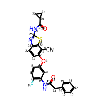 N#Cc1c(Oc2ccc(F)c(NC(=O)Cc3ccccc3)c2)ccc2nc(NC(=O)C3CC3)sc12